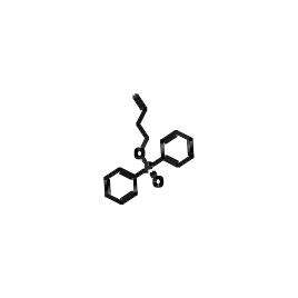 C=CCCOP(=O)(c1ccccc1)c1ccccc1